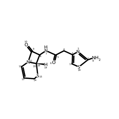 Nc1nc(CC(=O)NC2C(=O)N3C=CCS[C@@H]23)cs1